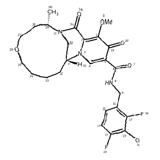 COc1c2n(cc(C(=O)NCc3ccc(F)c(Cl)c3F)c1=O)[C@@H]1CCCCOCC[C@H](C)N(C1)C2=O